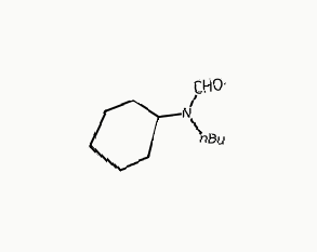 CCCCN([C]=O)C1CCCCC1